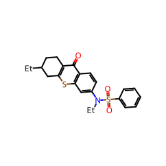 CCC1CCc2c(sc3cc(N(CC)S(=O)(=O)c4ccccc4)ccc3c2=O)C1